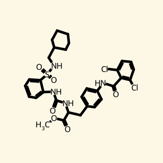 COC(=O)C(Cc1ccc(NC(=O)c2c(Cl)cccc2Cl)cc1)NC(=O)Nc1ccccc1S(=O)(=O)NCC1CCCCC1